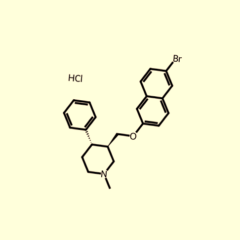 CN1CC[C@H](c2ccccc2)[C@@H](COc2ccc3cc(Br)ccc3c2)C1.Cl